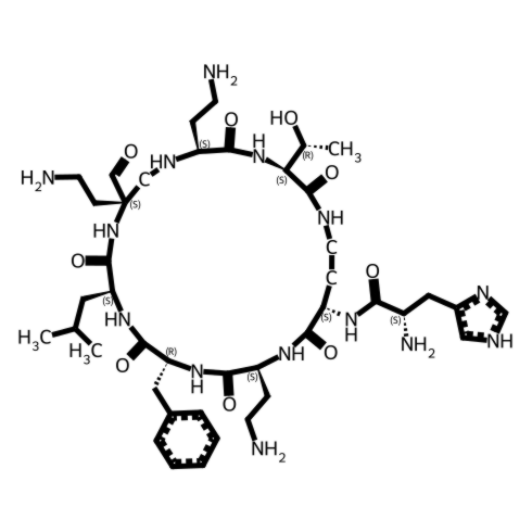 CC(C)C[C@@H]1NC(=O)[C@@H](Cc2ccccc2)NC(=O)[C@H](CCN)NC(=O)[C@@H](NC(=O)[C@@H](N)Cc2c[nH]cn2)CCNC(=O)[C@H]([C@@H](C)O)NC(=O)[C@H](CCN)NC[C@](C=O)(CCN)NC1=O